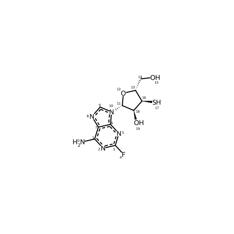 Nc1nc(F)nc2c1ncn2[C@@H]1O[C@H](CO)[C@@H](S)[C@H]1O